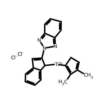 CC1=CC[C]([Ti+2][CH]2C(n3nc4ccccc4n3)=Cc3ccccc32)=C1C.[Cl-].[Cl-]